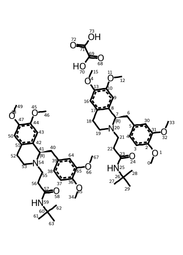 COc1ccc(C[C@@H]2c3cc(OC)c(OC)cc3CCN2CCC(=O)NC(C)(C)C)cc1OC.COc1ccc(C[C@@H]2c3cc(OC)c(OC)cc3CCN2CCC(=O)NC(C)(C)C)cc1OC.O=C(O)C(=O)O